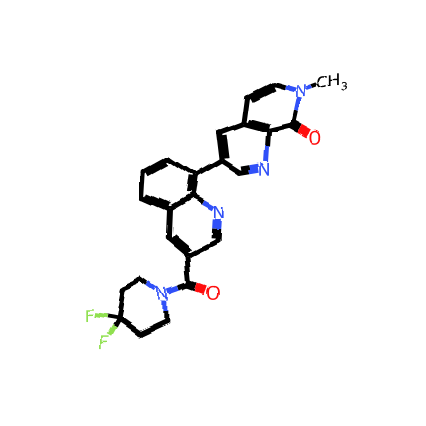 Cn1ccc2cc(-c3cccc4cc(C(=O)N5CCC(F)(F)CC5)cnc34)cnc2c1=O